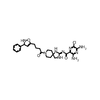 Nc1nc(N)c(C(=O)/N=C2\NCC3(CCN(C(=O)CCCC4=CC(c5ccccc5)NO4)CC3)N2)nc1Cl